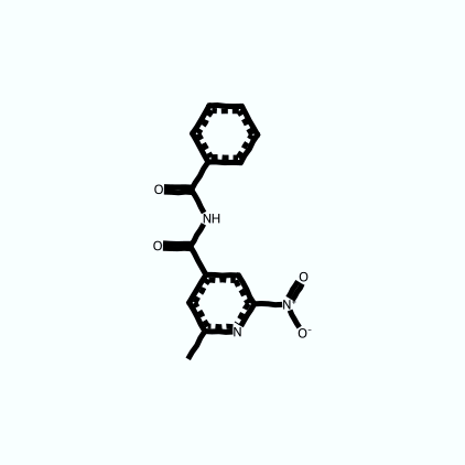 Cc1cc(C(=O)NC(=O)c2ccccc2)cc([N+](=O)[O-])n1